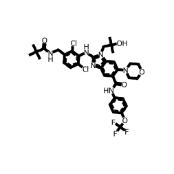 CC(C)(O)Cn1c(Nc2c(Cl)ccc(CNC(=O)C(C)(C)C)c2Cl)nc2cc(C(=O)Nc3ccc(OC(F)(F)F)cc3)c(N3CCOCC3)cc21